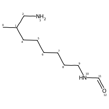 CC(CN)CCCCCCNC=O